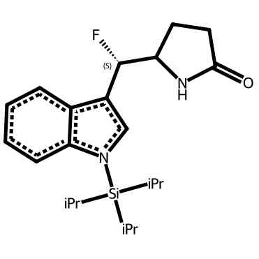 CC(C)[Si](C(C)C)(C(C)C)n1cc([C@H](F)C2CCC(=O)N2)c2ccccc21